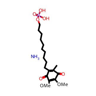 COC1=C(OC)C(=O)C(CCCCCCCCCCOP(=O)(O)O)=C(C)C1=O.N